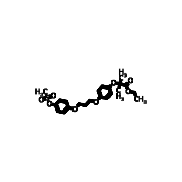 CCOC(=O)C(C)(C)Oc1ccc(OCCCOc2ccc(OS(C)(=O)=O)cc2)cc1